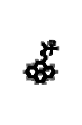 CCC(C)(C)C(C)OCc1cc2cccc3ccc4cccc1c4c32